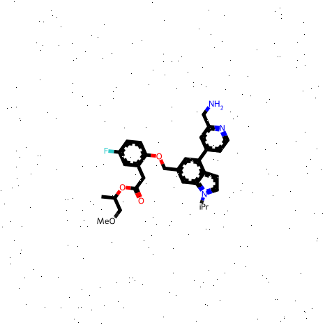 COCC(C)OC(=O)Cc1cc(F)ccc1OCc1cc(-c2ccnc(CN)c2)c2ccn(C(C)C)c2c1